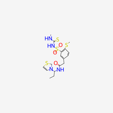 CCC(NC(=O)Cc1ccc(SC)c(S(=O)(=O)NC(=S)NC)c1)N1C=CSC1